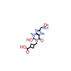 CONCc1nc2c(n1C)C(=O)N(CC1CC(C(=O)O)C1)C(O)N2C